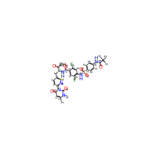 BC(=O)[C@H](Cc1ccc(-n2c(=O)cc(C)n(C)c2=O)nc1)NC(=O)c1cc(F)c(NS(=O)(=O)c2ccc(NC(=O)C(C)(C)C)cc2)cc1F